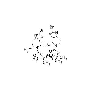 C[C@@H]1Cc2nc(Br)sc2CN1C(=O)OC(C)(C)C.C[C@@H]1c2sc(Br)nc2CCN1C(=O)OC(C)(C)C